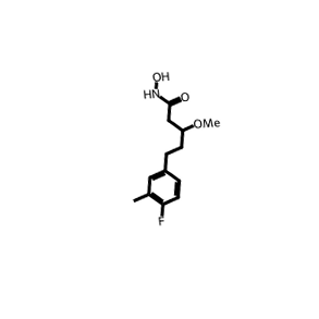 COC(CCc1ccc(F)c(C)c1)CC(=O)NO